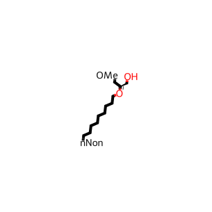 CCCCCCCCCCCCCCCCCCO[C@H](CO)COC